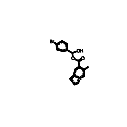 Cc1cn2cccc2cc1C(=O)OC(O)c1ccc(Br)cc1